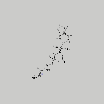 C/C(=N\C#N)NCCC(C)(C)CN(CC(C)C)S(=O)(=O)c1ccc2c(c1)OCO2